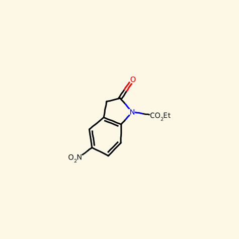 CCOC(=O)N1C(=O)Cc2cc([N+](=O)[O-])ccc21